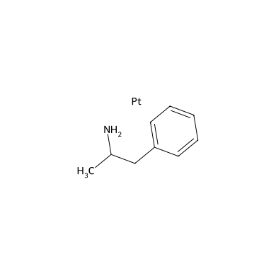 CC(N)Cc1ccccc1.[Pt]